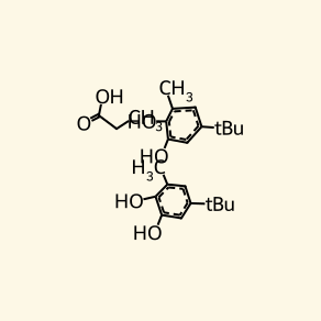 CCC(=O)O.Cc1cc(C(C)(C)C)cc(O)c1O.Cc1cc(C(C)(C)C)cc(O)c1O